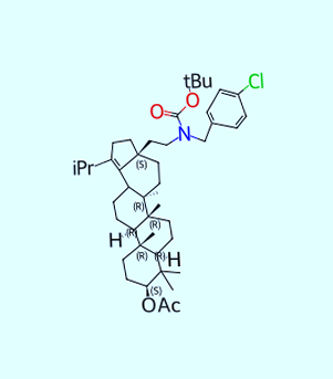 CC(=O)O[C@H]1CC[C@]2(C)[C@H]3CCC4C5=C(C(C)C)CC[C@]5(CCN(Cc5ccc(Cl)cc5)C(=O)OC(C)(C)C)CC[C@@]4(C)[C@]3(C)CC[C@H]2C1(C)C